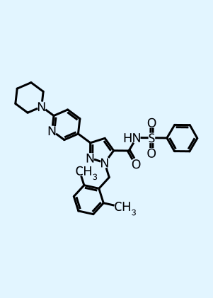 Cc1cccc(C)c1Cn1nc(-c2ccc(N3CCCCC3)nc2)cc1C(=O)NS(=O)(=O)c1ccccc1